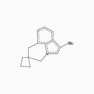 CC(C)(C)c1cn2c3c(cccc13)CC1(CCC1)C2